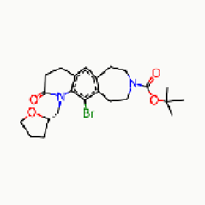 CC(C)(C)OC(=O)N1CCc2cc3c(c(Br)c2CC1)N(C[C@@H]1CCCO1)C(=O)CC3